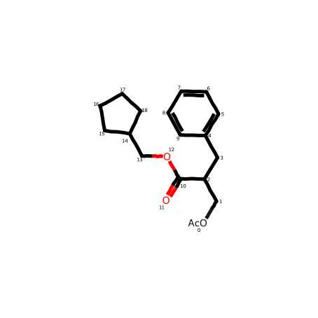 CC(=O)OCC(Cc1ccccc1)C(=O)OCC1CCCC1